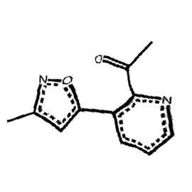 CC(=O)c1ncccc1-c1cc(C)no1